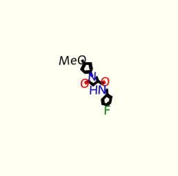 COc1ccc(N2CC(C(=O)NCc3ccc(F)cc3)CC2=O)cc1